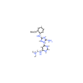 COc1ccccc1Nc1nc(N)n(-c2cc(NCN(C)C)ncn2)n1